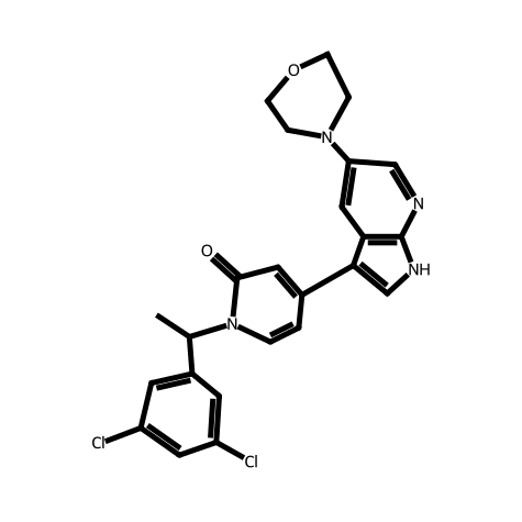 CC(c1cc(Cl)cc(Cl)c1)n1ccc(-c2c[nH]c3ncc(N4CCOCC4)cc23)cc1=O